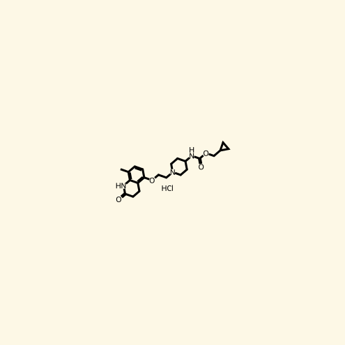 Cc1ccc(OCCN2CCC(NC(=O)OCC3CC3)CC2)c2c1NC(=O)CC2.Cl